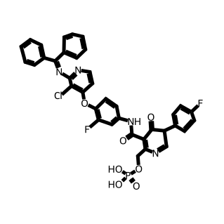 O=C(Nc1ccc(Oc2ccnc(N=C(c3ccccc3)c3ccccc3)c2Cl)c(F)c1)C1=C(COP(=O)(O)O)N=CC(c2ccc(F)cc2)C1=O